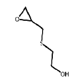 OCCSCC1CO1